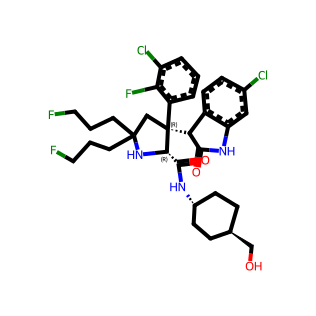 O=C1Nc2cc(Cl)ccc2C1[C@@]1(c2cccc(Cl)c2F)CC(CCCF)(CCCF)N[C@H]1C(=O)N[C@H]1CC[C@H](CO)CC1